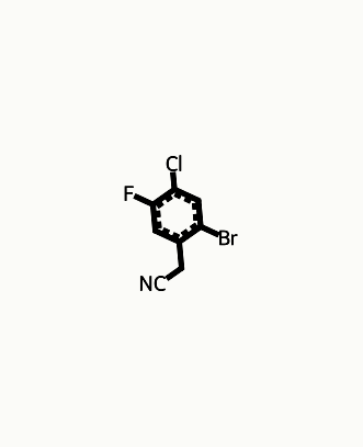 N#CCc1cc(F)c(Cl)cc1Br